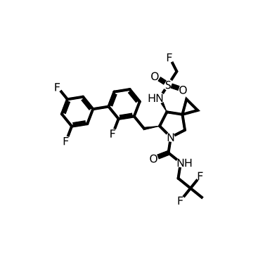 CC(F)(F)CNC(=O)N1CC2(CC2)[C@H](NS(=O)(=O)CF)[C@@H]1Cc1cccc(-c2cc(F)cc(F)c2)c1F